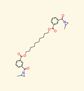 CC1CN1C(=O)c1cccc(C(=O)OCCCCCCCCCCOC(=O)c2cccc(C(=O)N3CC3C)c2)c1